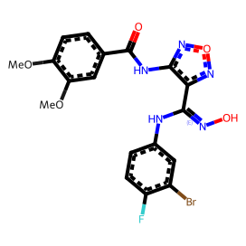 COc1ccc(C(=O)Nc2nonc2/C(=N\O)Nc2ccc(F)c(Br)c2)cc1OC